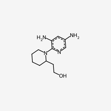 Nc1cnc(N2CCCCC2CCO)c(N)c1